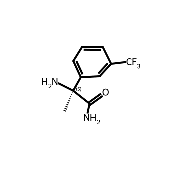 C[C@@](N)(C(N)=O)c1cccc(C(F)(F)F)c1